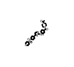 CC(=O)N1CCN(C(=O)c2ccc(Nc3nccc(-c4ccc(S(=O)(=O)c5ccncc5)cc4)n3)cc2)CC1